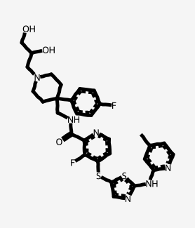 Cc1ccnc(Nc2ncc(Sc3ccnc(C(=O)NCC4(c5ccc(F)cc5)CCN(CC(O)CO)CC4)c3F)s2)c1